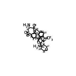 N[C@H]1CS(=O)(=O)c2ccc(-c3nnc(C4(N)CCOCC4)o3)cc2N(Cc2ccc(OC(F)(F)F)cc2)C1=O